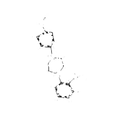 COc1ccc(N2CCN(c3ccccc3N)CC2)cc1